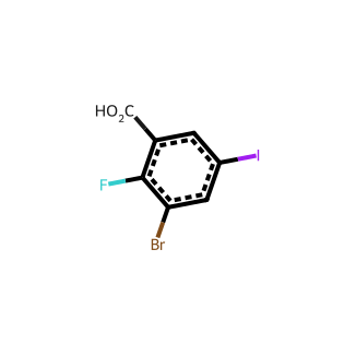 O=C(O)c1cc(I)cc(Br)c1F